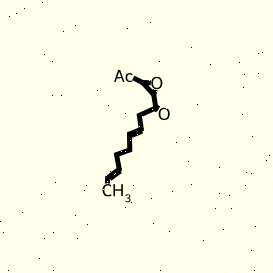 C/C=C/CC/C=C/CC(=O)C1OC1C(C)=O